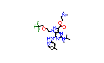 Cc1ccnc(Nc2nc(N(C)C(C)C)nc3c(C(=O)OCCN(C)C)nn(CCOCC(F)(F)F)c23)c1